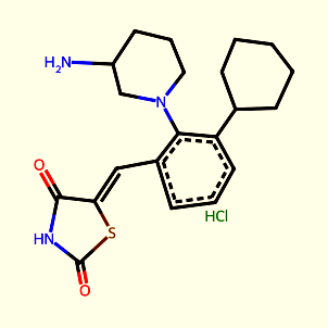 Cl.NC1CCCN(c2c(C=C3SC(=O)NC3=O)cccc2C2CCCCC2)C1